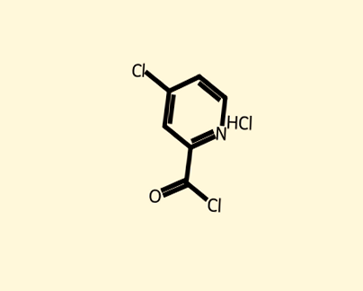 Cl.O=C(Cl)c1cc(Cl)ccn1